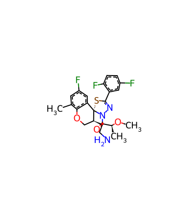 CO[C@@H](C)C(=O)N1N=C(c2cc(F)ccc2F)S[C@]12c1cc(F)cc(C)c1OC[C@@H]2CCN